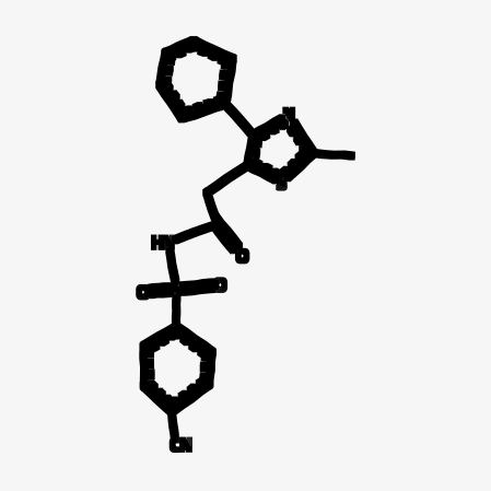 Cc1nc(-c2ccccc2)c(CC(=O)NS(=O)(=O)c2ccc(C#N)cc2)s1